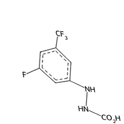 O=C(O)NNc1cc(F)cc(C(F)(F)F)c1